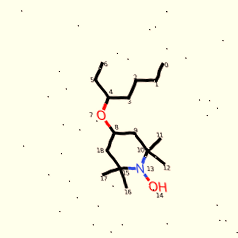 CCCCC(CC)OC1CC(C)(C)N(O)C(C)(C)C1